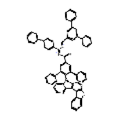 N=C(/N=C(\N=C\c1cc(-c2ccccc2)cc(-c2ccccc2)c1)c1ccc(-c2ccccc2)cc1)c1cc(-c2ccccc2)c(-n2c3ccccc3c3c4c(ccc32)sc2ccccc24)c(-c2ccccc2)c1